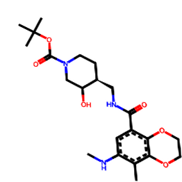 CNc1cc(C(=O)NC[C@@H]2CCN(C(=O)OC(C)(C)C)CC2O)c2c(c1C)OCCO2